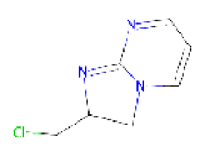 ClCC1CN2C=CC=NC2=N1